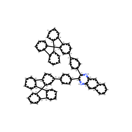 c1ccc2c(c1)-c1ccccc1C21c2ccccc2-c2ccc(-c3ccc(-c4nc5cc6ccccc6cc5nc4-c4ccc(-c5ccc6c(c5)C5(c7ccccc7-c7ccccc75)c5ccccc5-6)cc4)cc3)cc21